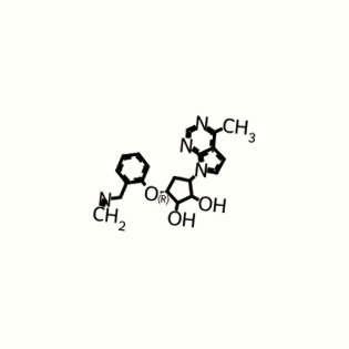 C=NCc1ccccc1O[C@@H]1CC(n2ccc3c(C)ncnc32)C(O)C1O